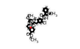 CCOC(=O)C1CCC(OC(C(=O)Cc2cc(Cl)c(NC(=O)c3cn(C)c4ccccc34)cc2F)(N2CCCC2)N2CC(OC)C2)CC1